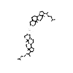 CC(C)CCCC(C)C1CCC2C3CC=C4C[C@@H](OC(=O)O[C@@H]5CCC6(C)C(=CCC7C6CCC6(C)C(C(C)CCC(C)C)CCC76)C5)CCC4(C)C3CCC12C